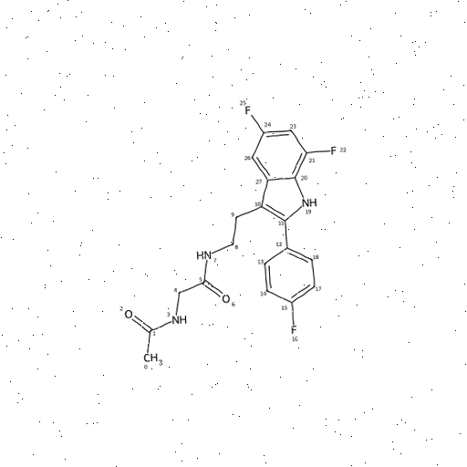 CC(=O)NCC(=O)NCCc1c(-c2ccc(F)cc2)[nH]c2c(F)cc(F)cc12